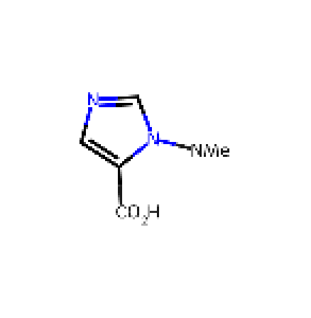 CNn1cncc1C(=O)O